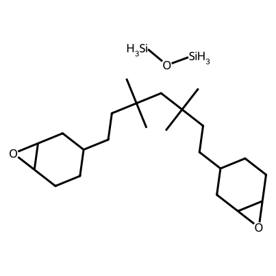 CC(C)(CCC1CCC2OC2C1)CC(C)(C)CCC1CCC2OC2C1.[SiH3]O[SiH3]